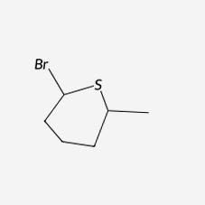 CC1CCCC(Br)S1